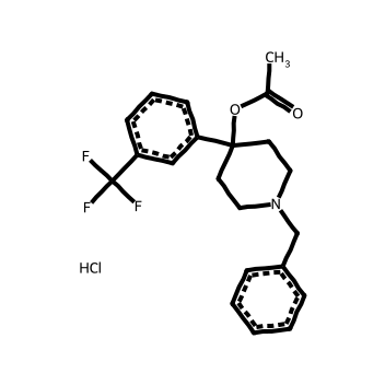 CC(=O)OC1(c2cccc(C(F)(F)F)c2)CCN(Cc2ccccc2)CC1.Cl